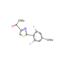 COC(=O)c1csc(-c2c(F)cc(OC)cc2F)n1